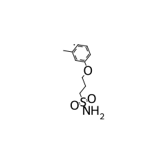 Cc1[c]ccc(OCCCS(N)(=O)=O)c1